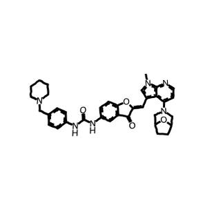 Cn1cc(C=C2Oc3ccc(NC(=O)Nc4ccc(CN5CCCCC5)cc4)cc3C2=O)c2c(N3CC4CCC(C3)O4)ccnc21